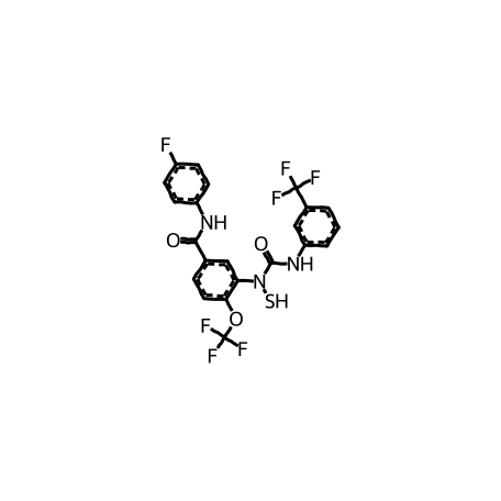 O=C(Nc1ccc(F)cc1)c1ccc(OC(F)(F)F)c(N(S)C(=O)Nc2cccc(C(F)(F)F)c2)c1